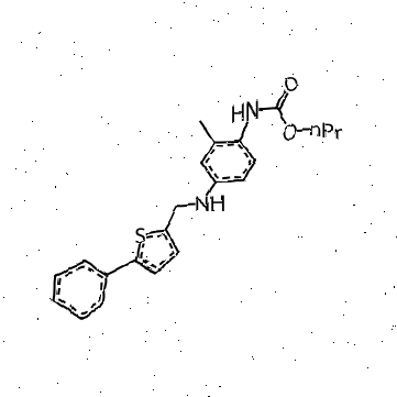 CCCOC(=O)Nc1ccc(NCc2ccc(-c3ccccc3)s2)cc1C